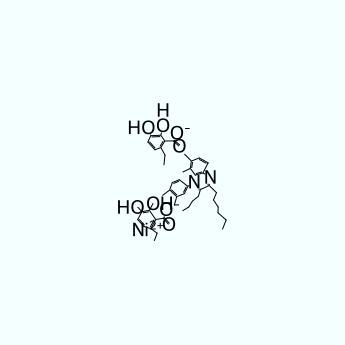 CCCCCCC(=Nc1ccc(C)c(C)c1)C(CCCC)=Nc1ccc(C)c(C)c1.CCc1ccc(O)c(O)c1C(=O)[O-].CCc1ccc(O)c(O)c1C(=O)[O-].[Ni+2]